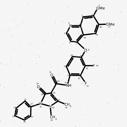 COc1cc2nccc(Oc3ccc(NC(=O)c4c(C)n(C)n(-c5ccccc5)c4=O)c(F)c3F)c2cc1OC